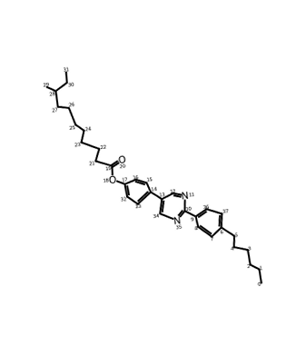 CCCCCCc1ccc(-c2ncc(-c3ccc(OC(=O)CCCCCCCC(C)CC)cc3)cn2)cc1